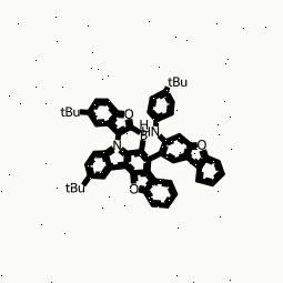 CC(C)(C)c1ccc(Nc2cc3oc4ccccc4c3cc2-c2c3c4c(c5cc(C(C)(C)C)ccc5n4-c4c(oc5ccc(C(C)(C)C)cc45)B3)c3oc4ccccc4c23)cc1